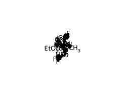 CCOC(=O)c1c([C@@H]2[C@@H](O)CCN2C(=O)OC(C)(C)C)nc(CCc2ccc(F)cc2)c(-c2nnc(C)o2)c1-c1ccc(C(=O)NCc2ccc(F)c(F)c2)s1